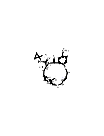 COc1ccc2c(c1)C(=O)N[C@H](C(=O)NC1(C#N)CC1)Cc1ccc(c(Cl)c1)OC/C=C/CO2